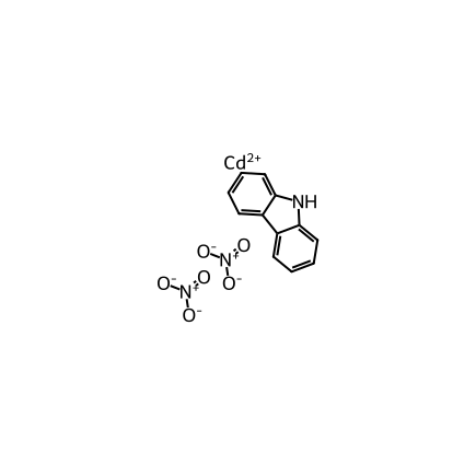 O=[N+]([O-])[O-].O=[N+]([O-])[O-].[Cd+2].c1ccc2c(c1)[nH]c1ccccc12